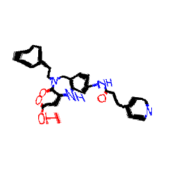 O=C(O)CC1Nc2cc(NC(=O)C=Cc3ccncc3)ccc2CN(CCc2ccccc2)C1=O